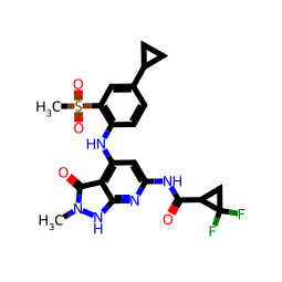 Cn1[nH]c2nc(NC(=O)C3CC3(F)F)cc(Nc3ccc(C4CC4)cc3S(C)(=O)=O)c2c1=O